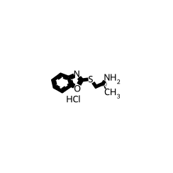 C[C@@H](N)CSc1nc2ccccc2o1.Cl